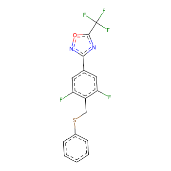 Fc1cc(-c2noc(C(F)(F)F)n2)cc(F)c1CSc1ccccc1